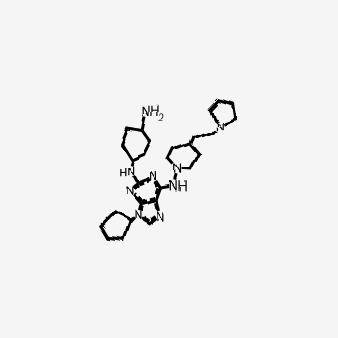 NC1CCC(Nc2nc(NN3CCC(CCN4CCCC4)CC3)c3ncn(C4CCCC4)c3n2)CC1